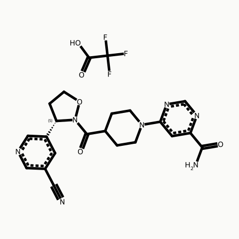 N#Cc1cncc([C@@H]2CCON2C(=O)C2CCN(c3cc(C(N)=O)ncn3)CC2)c1.O=C(O)C(F)(F)F